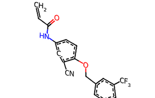 C=CC(=O)Nc1ccc(OCc2cccc(C(F)(F)F)c2)c(C#N)c1